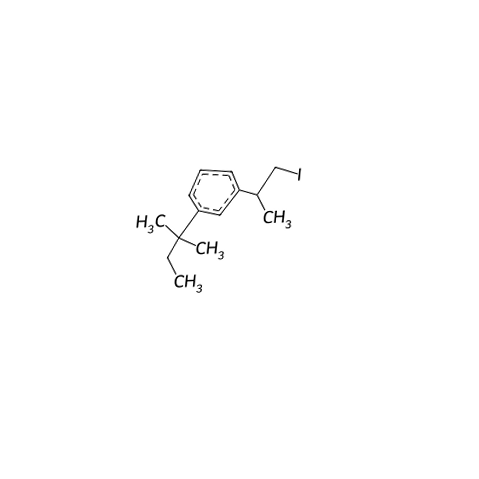 CCC(C)(C)c1cccc(C(C)CI)c1